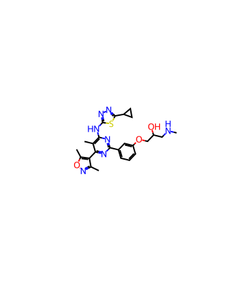 CNCC(O)COc1cccc(-c2nc(Nc3nnc(C4CC4)s3)c(C)c(-c3c(C)noc3C)n2)c1